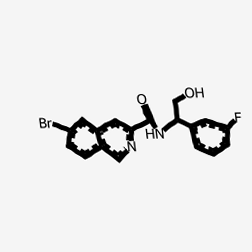 O=C(NC(CO)c1cccc(F)c1)c1cc2cc(Br)ccc2cn1